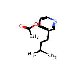 CC(=O)O.CC(C)CCc1cccnc1